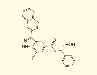 O=C(N[C@H](CO)c1ccccc1)c1cc(F)c2[nH]nc(-c3ccc4ccccc4c3)c2c1